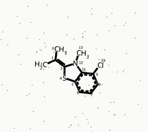 CC(C)=C1Sc2cccc(Cl)c2N1C